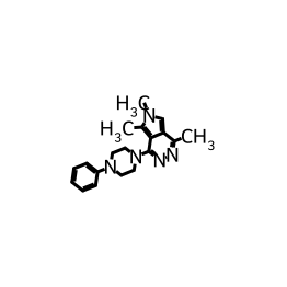 Cc1nnc(N2CCN(c3ccccc3)CC2)c2c(C)n(C)cc12